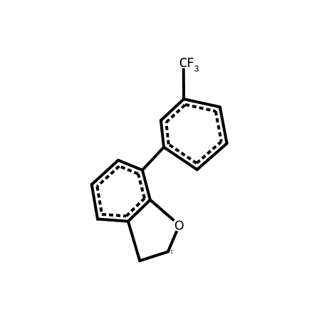 FC(F)(F)c1cccc(-c2cccc3c2O[C]C3)c1